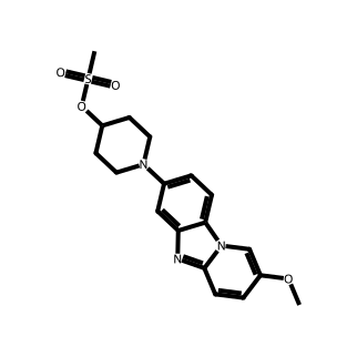 COc1ccc2nc3cc(N4CCC(OS(C)(=O)=O)CC4)ccc3n2c1